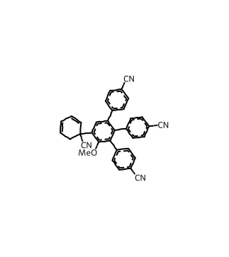 COc1c(C2(C#N)C=CC=CC2)cc(-c2ccc(C#N)cc2)c(-c2ccc(C#N)cc2)c1-c1ccc(C#N)cc1